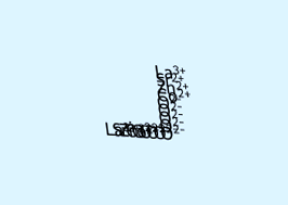 [Co+2].[Co+2].[La+3].[La+3].[O-2].[O-2].[O-2].[O-2].[O-2].[O-2].[O-2].[O-2].[O-2].[Sr+2].[Sr+2].[Zn+2].[Zn+2]